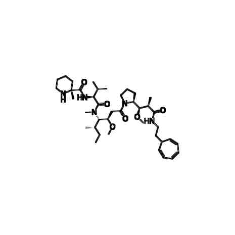 CC[C@H](C)[C@@H]([C@@H](CC(=O)N1CCC[C@H]1[C@H](OC)[C@@H](C)C(=O)NCCC1C=CC=CC=C1)OC)N(C)C(=O)[C@@H](NC(=O)[C@@]1(C)CCCCN1)C(C)C